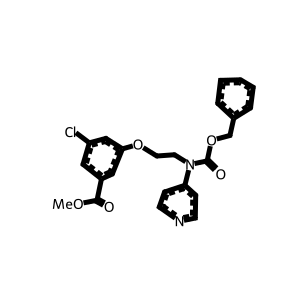 COC(=O)c1cc(Cl)cc(OCCN(C(=O)OCc2ccccc2)c2ccncc2)c1